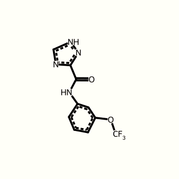 O=C(Nc1cccc(OC(F)(F)F)c1)c1nc[nH]n1